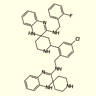 Fc1ccccc1CNC1=Nc2ccccc2NC12CCNC(c1cc(Cl)ccc1CNC1=Nc3ccccc3NC13CCNCC3)C2